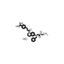 CCNC(=O)CN(Cc1ccccc1)c1ccc2c(c1)CCCN2C(=O)CCc1ccc(C(=N)N)cc1.Cl